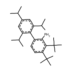 CC(C)c1cc(C(C)C)c(-c2ccc(C(C)(C)C)c(C(C)(C)C)c2P)c(C(C)C)c1